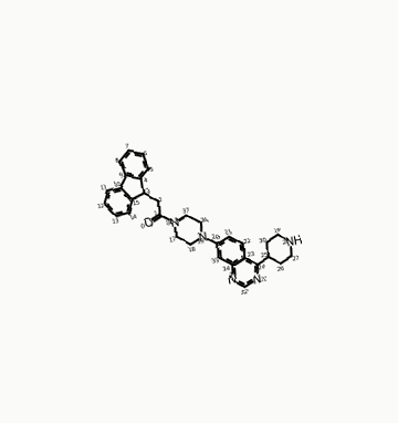 O=C(CC1c2ccccc2-c2ccccc21)N1CCN(c2ccc3c(C4CCNCC4)ncnc3c2)CC1